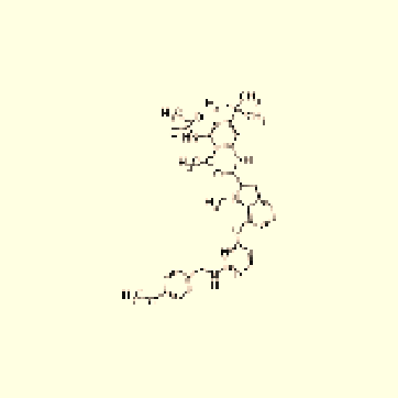 COc1ccc(CNc2nccc(Oc3cccc4cc(C(=O)Nc5cc(C(C)(C)C)cc(NS(C)(=O)=O)c5OC)n(C)c34)n2)cc1